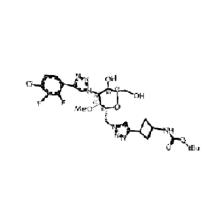 CO[C@@H]1[C@@H](n2cc(-c3ccc(Cl)c(F)c3F)nn2)[C@@H](O)[C@@H](CO)O[C@@H]1Cn1cc(C2CC(NC(=O)OC(C)(C)C)C2)nn1